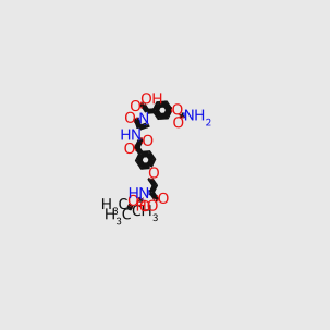 CC(C)(C)OC(=O)NC(CCOc1ccc(C(=O)C(=O)NC2CN(C(C(=O)O)c3ccc(OC(N)=O)cc3)C2=O)cc1)C(=O)O